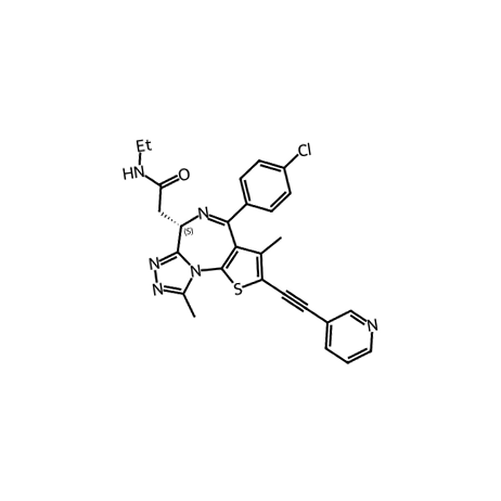 CCNC(=O)C[C@@H]1N=C(c2ccc(Cl)cc2)c2c(sc(C#Cc3cccnc3)c2C)-n2c(C)nnc21